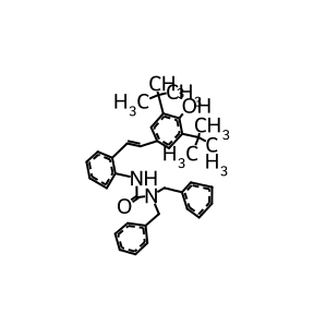 CC(C)(C)c1cc(C=Cc2ccccc2NC(=O)N(Cc2ccccc2)Cc2ccccc2)cc(C(C)(C)C)c1O